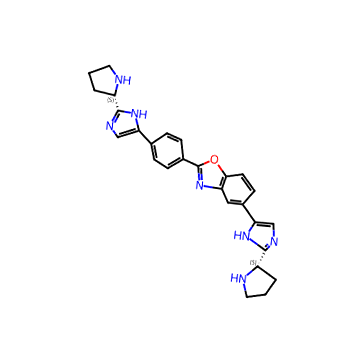 c1cc(-c2nc3cc(-c4cnc([C@@H]5CCCN5)[nH]4)ccc3o2)ccc1-c1cnc([C@@H]2CCCN2)[nH]1